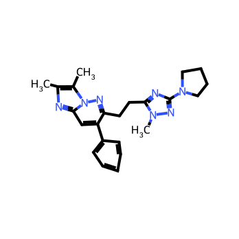 Cc1nc2cc(-c3ccccc3)c(CCc3nc(N4CCCC4)nn3C)nn2c1C